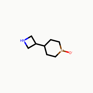 [O-][S+]1CCC(C2CNC2)CC1